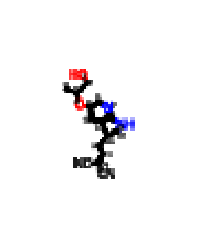 CC(CO)Oc1cnc2[nH]cc(CC=C(C#N)C#N)c2c1